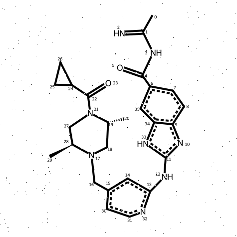 CC(=N)NC(=O)c1ccc2nc(Nc3cc(CN4C[C@@H](C)N(C(=O)C5CC5)C[C@@H]4C)ccn3)[nH]c2c1